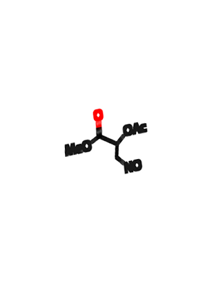 COC(=O)C(CN=O)OC(C)=O